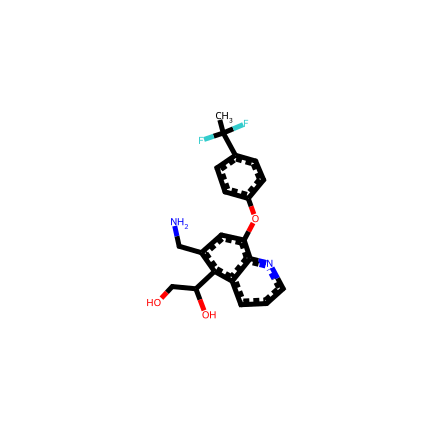 CC(F)(F)c1ccc(Oc2cc(CN)c(C(O)CO)c3cccnc23)cc1